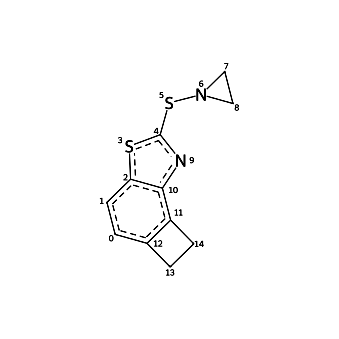 c1cc2sc(SN3CC3)nc2c2c1CC2